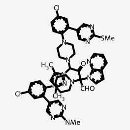 CNc1ncc(-c2cc(Cl)ccc2N2CCN(C(C=O)(C(=O)C(N3CCN(c4ccc(Cl)cc4-c4cnc(SC)nc4)CC3)n3nc(C)cc3C)n3ccc4cccnc43)CC2)cn1